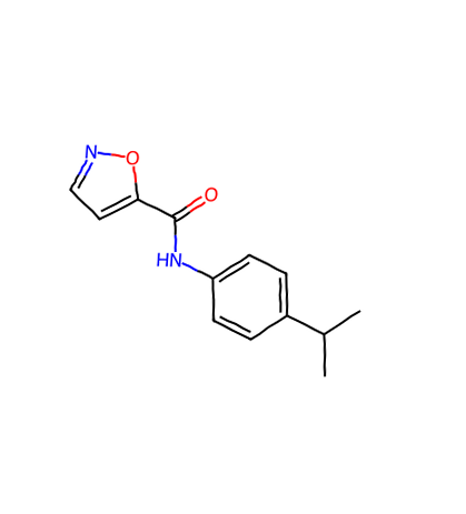 CC(C)c1ccc(NC(=O)c2ccno2)cc1